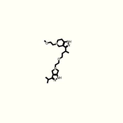 COCCN1CCc2[nH]nc(C(C)CCOCCN3Cc4[nH]nc(C(C)C)c4C3)c2C1